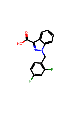 O=C(O)c1nn(Cc2ccc(F)cc2F)c2ccccc12